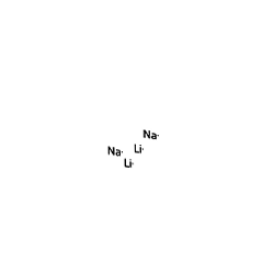 [Li].[Li].[Na].[Na]